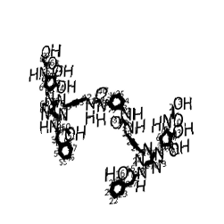 O=C(CO)N[C@H]1C[C@@H](n2cnc3c(N[C@H](CO)Cc4ccccc4)nc(C#CCNC(=O)Nc4cccc(NC(=O)NCC#Cc5nc(N[C@H](CO)Cc6ccccc6)c6ncn([C@@H]7C[C@H](NC(=O)CO)[C@@H](O)[C@H]7O)c6n5)c4)nc32)[C@H](O)[C@@H]1O